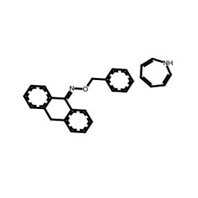 C1=CC=CNC=C1.c1ccc(CON=C2c3ccccc3Cc3ccccc32)cc1